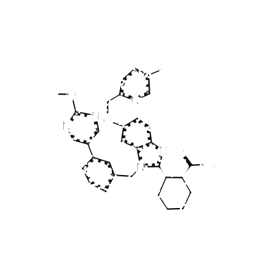 COc1ncc(-c2cccc(Cn3c([C@@H]4CCCC[C@@H]4C(=O)O)nc4ccc(OCc5ccc(C)cn5)cc43)c2)cn1